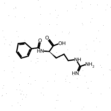 N=C(N)NCCC[C@@H](NC(=O)c1ccccc1)C(=O)O